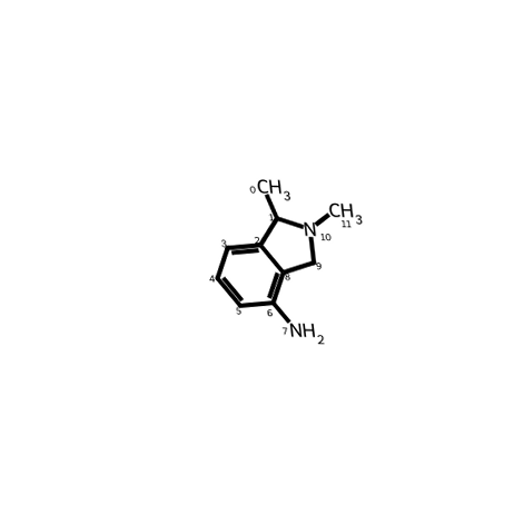 CC1c2cccc(N)c2CN1C